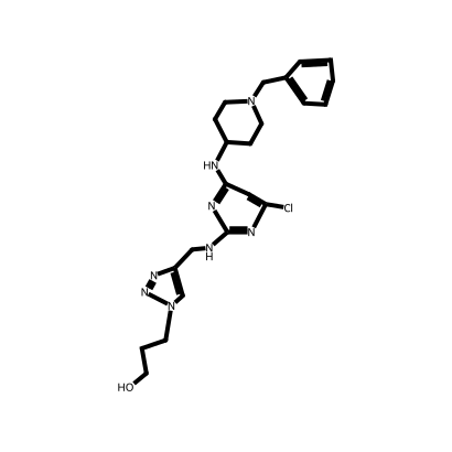 OCCCn1cc(CNc2nc(Cl)cc(NC3CCN(Cc4ccccc4)CC3)n2)nn1